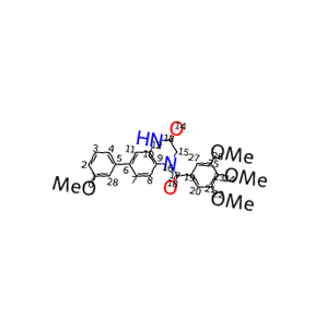 COc1cccc(-c2ccc3c(c2)NC(=O)CN3C(=O)c2cc(OC)c(OC)c(OC)c2)c1